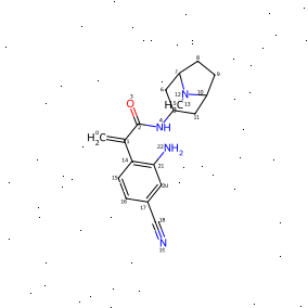 C=C(C(=O)NC1CC2CCC(C1)N2C)c1ccc(C#N)cc1N